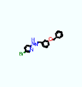 Brc1ccc(NN=Cc2cccc(OCc3ccccc3)c2)nc1